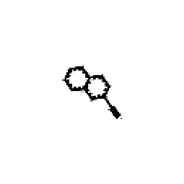 C#Cc1ccc2cc[c]cc2c1